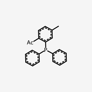 CC(=O)c1ccc(C)cc1P(c1ccccc1)c1ccccc1